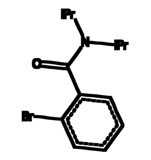 CC(C)N(C(=O)c1ccccc1Br)C(C)C